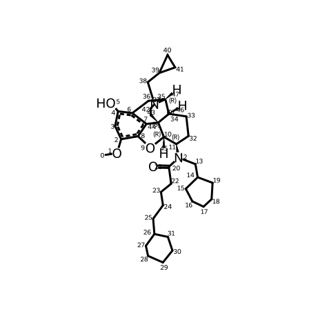 COc1cc(O)c2c3c1O[C@H]1[C@H](N(CC4CCCCC4)C(=O)CCCCC4CCCCC4)CC[C@H]4[C@@H](C2)N(CC2CC2)CC[C@@]341